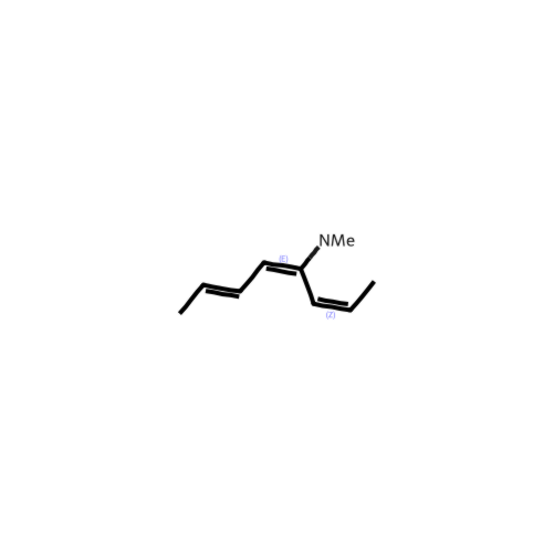 CC=C/C=C(\C=C/C)NC